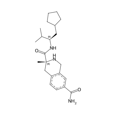 CC(C)[C@@H](CC1CCCC1)NC(=O)[C@@]1(C)Cc2ccc(C(N)=O)cc2CN1